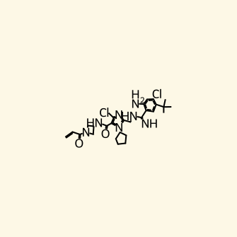 C=CC(=O)N1CC(NC(=O)c2c(Cl)nc(CNC(=N)c3cc(C(C)(C)C)c(Cl)cc3N)n2C2CCCC2)C1